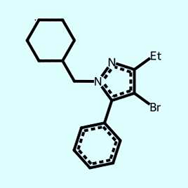 CCc1nn(CC2CC[CH]CC2)c(-c2ccccc2)c1Br